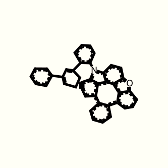 c1cc2c3ccccc3c3cccc4oc5ccc6c(c5c43)c2c(c#1)n6-c1ccccc1C1=CC(c2ccccc2)=CCC1